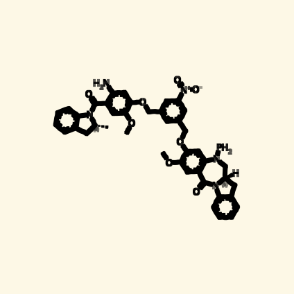 COc1cc(C(=O)N2c3ccccc3C[C@H]2C)c(N)cc1OCc1cc(COc2cc3c(cc2OC)C(=O)N2c4ccccc4C[C@H]2CN3P)cc([N+](=O)[O-])c1